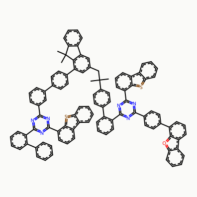 CC(C)(Cc1cc(-c2ccc(-c3cccc(-c4nc(-c5ccccc5-c5ccccc5)nc(-c5cccc6c5sc5ccccc56)n4)c3)cc2)c2c(c1)-c1ccccc1C2(C)C)c1ccc(-c2ccccc2-c2nc(-c3ccc(-c4cccc5c4oc4ccccc45)cc3)nc(-c3cccc4c3sc3ccccc34)n2)cc1